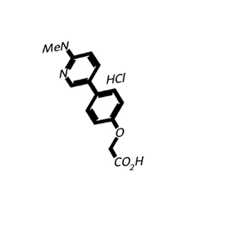 CNc1ccc(-c2ccc(OCC(=O)O)cc2)cn1.Cl